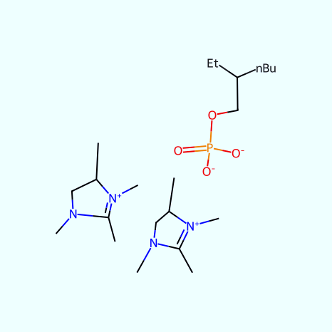 CC1=[N+](C)C(C)CN1C.CC1=[N+](C)C(C)CN1C.CCCCC(CC)COP(=O)([O-])[O-]